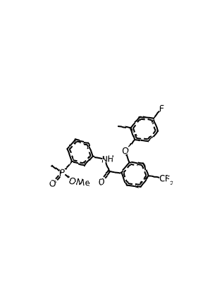 COP(C)(=O)c1cccc(NC(=O)c2ccc(C(F)(F)F)cc2Oc2ccc(F)cc2C)c1